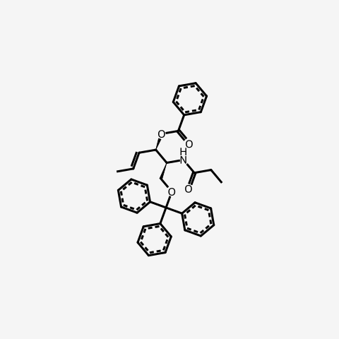 C/C=C/[C@@H](OC(=O)c1ccccc1)[C@H](COC(c1ccccc1)(c1ccccc1)c1ccccc1)NC(=O)CC